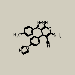 Cc1ccc(-c2n[nH]c3c2C(c2ccc(-n4ccnc4)cc2)C(C#N)=C(N)O3)cc1